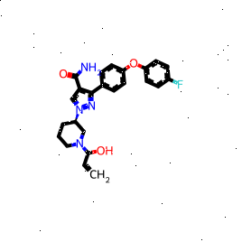 C=CC(O)N1CCC[C@@H](n2cc(C(N)=O)c(-c3ccc(Oc4ccc(F)cc4)cc3)n2)C1